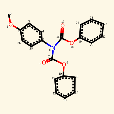 COc1ccc(N(C(=O)Oc2ccccc2)C(=O)Oc2ccccc2)cc1